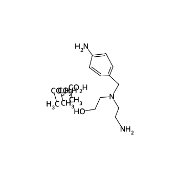 CC(=O)O.CC(=O)O.CC(=O)O.NCCN(CCO)Cc1ccc(N)cc1